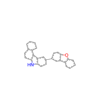 c1ccc2c(c1)ccc1[nH]c3ccc(-c4ccc5oc6ccccc6c5c4)cc3c12